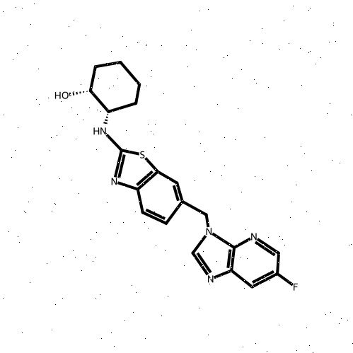 O[C@@H]1CCCC[C@@H]1Nc1nc2ccc(Cn3cnc4cc(F)cnc43)cc2s1